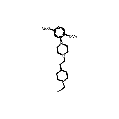 COc1ccc(OC)c(N2CCN(CCC3CCN(CC(C)=O)CC3)CC2)c1